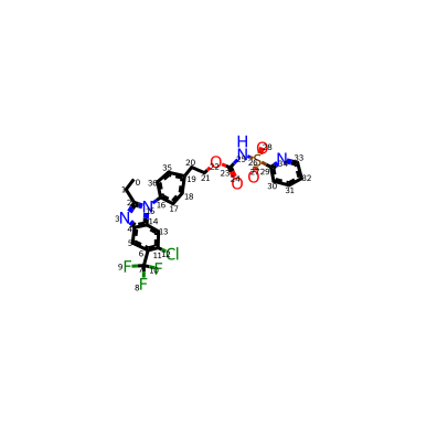 CCc1nc2cc(C(F)(F)F)c(Cl)cc2n1-c1ccc(CCOC(=O)NS(=O)(=O)c2ccccn2)cc1